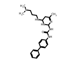 CC1=NC(NC(=O)Nc2ccc(-c3ccccc3)cc2)NC(NCCCN(C)C)C1